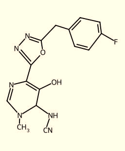 CN1C=NC(c2nnc(Cc3ccc(F)cc3)o2)=C(O)C1NC#N